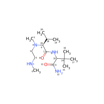 CNCCN(C)[C@H](C(=O)NC(C(N)=O)C(C)(C)C)C(C)C